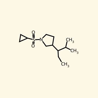 CCC(C(C)C)C1CCN(S(=O)(=O)C2CC2)C1